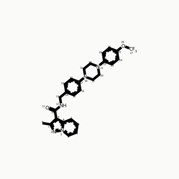 Cc1nn2ccccc2c1C(=O)NCc1ccc(N2CCN(c3ccc(OC(F)(F)F)cc3)CC2)cc1